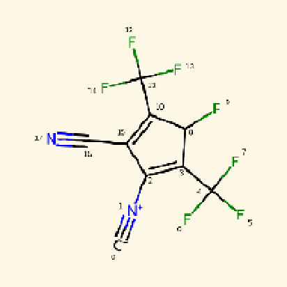 [C-]#[N+]C1=C(C(F)(F)F)C(F)C(C(F)(F)F)=C1C#N